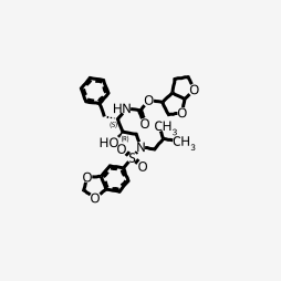 CC(C)CN(C[C@@H](O)[C@H](Cc1ccccc1)NC(=O)OC1COC2OCCC12)S(=O)(=O)c1ccc2c(c1)OCO2